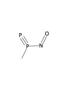 CP(#P)N=O